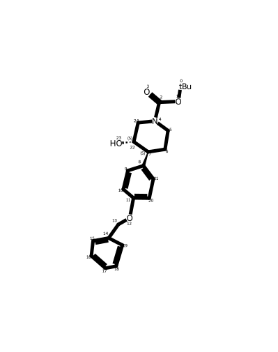 CC(C)(C)OC(=O)N1CC[C@@H](c2ccc(OCc3ccccc3)cc2)[C@H](O)C1